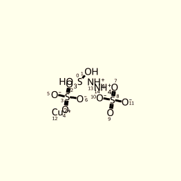 O=S(=O)(O)O.O=S(=O)([O-])[O-].O=S(=O)([O-])[O-].[Cu+2].[NH4+].[NH4+]